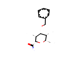 CC(=O)O[C@H]1O[C@@H](C(N)=O)[C@@H](OC(C)=O)[C@H](OCc2ccccc2)[C@H]1OC(C)=O